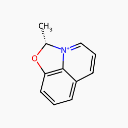 C[C@H]1Oc2cccc3ccc[n+]1c23